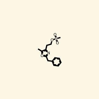 Cc1oc(Cc2ccccc2)nc1CCOS(C)(=O)=O